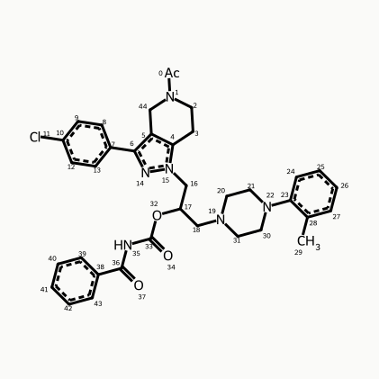 CC(=O)N1CCc2c(c(-c3ccc(Cl)cc3)nn2CC(CN2CCN(c3ccccc3C)CC2)OC(=O)NC(=O)c2ccccc2)C1